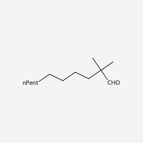 CCCCCCCCCC(C)(C)C=O